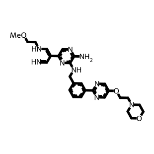 COCCN/C=C(\C=N)c1cnc(N)c(NCc2cccc(-c3ncc(OCCN4CCOCC4)cn3)c2)n1